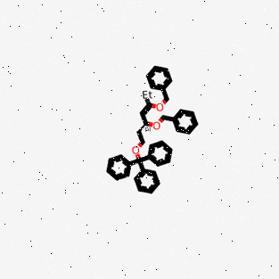 CCC(=C[C@H](CCOC(c1ccccc1)(c1ccccc1)c1ccccc1)OCc1ccccc1)OCc1ccccc1